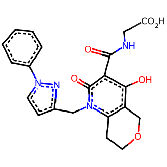 O=C(O)CNC(=O)c1c(O)c2c(n(Cc3ccn(-c4ccccc4)n3)c1=O)CCOC2